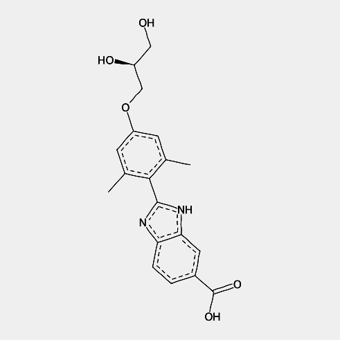 Cc1cc(OC[C@@H](O)CO)cc(C)c1-c1nc2ccc(C(=O)O)cc2[nH]1